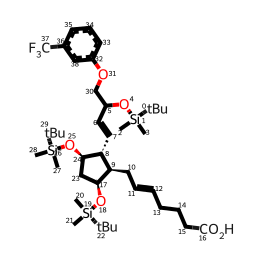 CC(C)(C)[Si](C)(C)OC(C=C[C@@H]1[C@@H](CC=CCCCC(=O)O)[C@@H](O[Si](C)(C)C(C)(C)C)C[C@H]1O[Si](C)(C)C(C)(C)C)COc1cccc(C(F)(F)F)c1